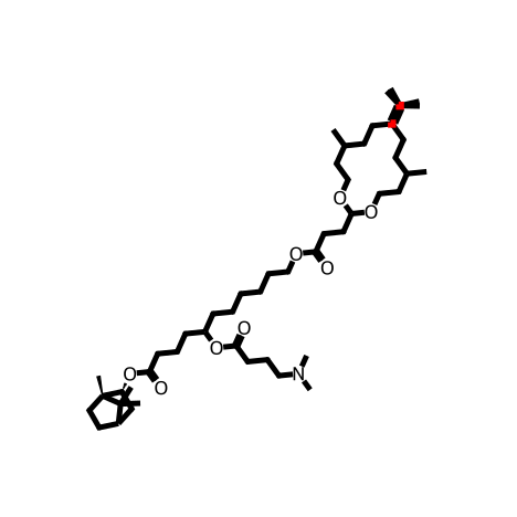 CC(C)=CCCC(C)CCOC(CCC(=O)OCCCCCCC(CCCC(=O)O[C@@H]1CC2CC[C@@]1(C)C2(C)C)OC(=O)CCCN(C)C)OCCC(C)CCC=C(C)C